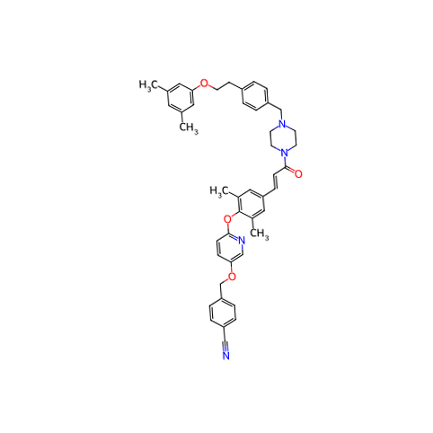 Cc1cc(C)cc(OCCc2ccc(CN3CCN(C(=O)C=Cc4cc(C)c(Oc5ccc(OCc6ccc(C#N)cc6)cn5)c(C)c4)CC3)cc2)c1